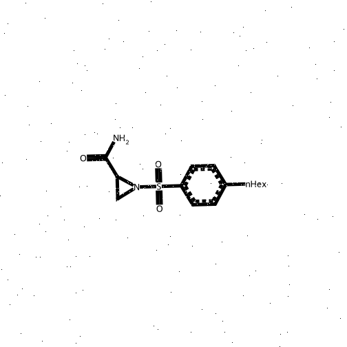 CCCCCCc1ccc(S(=O)(=O)N2CC2C(N)=O)cc1